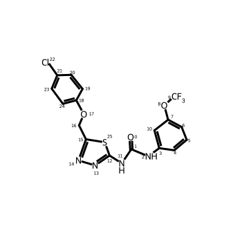 O=C(Nc1cccc(OC(F)(F)F)c1)Nc1nnc(COc2ccc(Cl)cc2)s1